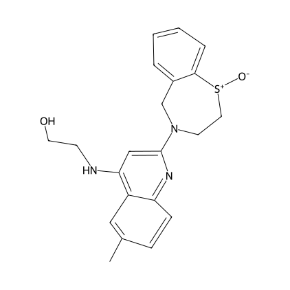 Cc1ccc2nc(N3CC[S+]([O-])c4ccccc4C3)cc(NCCO)c2c1